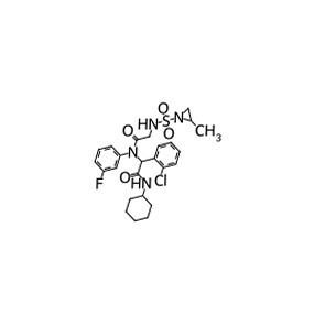 CC1CN1S(=O)(=O)NCC(=O)N(c1cccc(F)c1)C(C(=O)NC1CCCCC1)c1ccccc1Cl